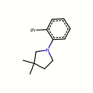 CC(C)c1ccccc1N1CCC(C)(C)C1